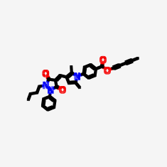 CC#CC#COC(=O)c1ccc(-n2c(C)cc(C=C3C(=O)N(CCCC)N(c4ccccc4)C3=O)c2C)cc1